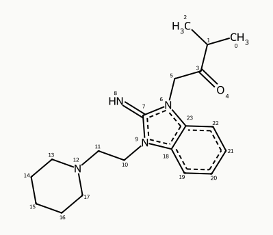 CC(C)C(=O)Cn1c(=N)n(CCN2CCCCC2)c2ccccc21